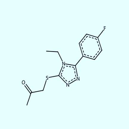 CCn1c(SCC(C)=O)nnc1-c1ccc(F)cc1